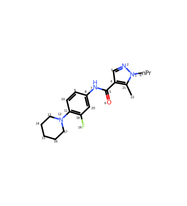 CCCn1ncc(C(=O)Nc2ccc(N3CCCCC3)c(F)c2)c1C